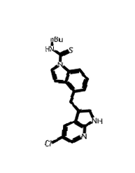 CCCCNC(=S)n1ccc2c(CC3CNc4ncc(Cl)cc43)cccc21